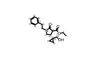 CCOC(=O)C1C(=O)N(CCc2ccccc2)C[C@H]1C1(CO)CC1